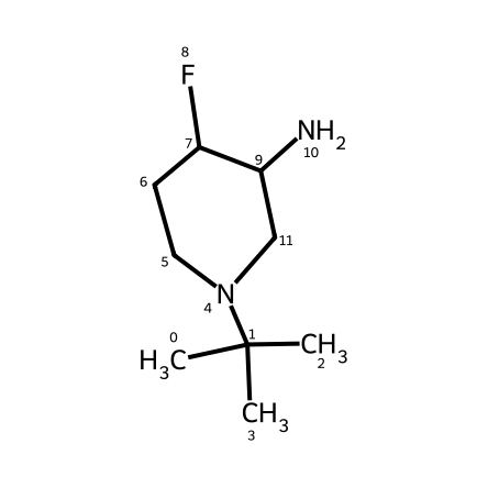 CC(C)(C)N1CCC(F)C(N)C1